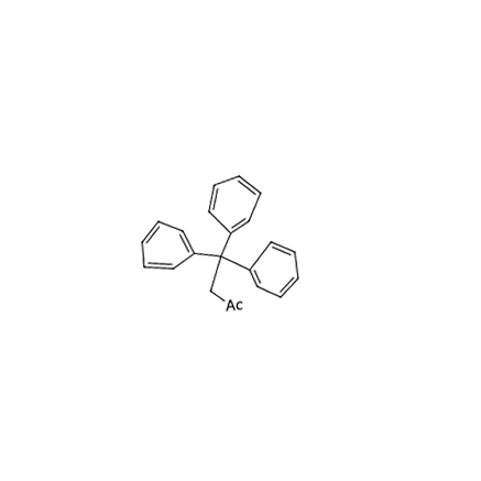 CC(=O)CC(c1ccccc1)(c1ccccc1)c1ccccc1